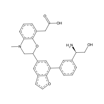 CN1CC(c2cc(-c3cccc([C@@H](N)CO)c3)c3occc3c2)Oc2c(CC(=O)O)cccc21